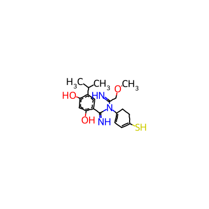 COCC(=N)N(C(=N)c1cc(C(C)C)c(O)cc1O)C1=CC=C(S)CC1